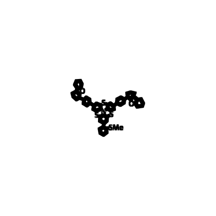 CSc1ccccc1-c1cc2c3c(c1)Sc1cc(-c4ccc(-c5cccc6c5oc5ccccc56)cc4)cc4c1N3c1c(cc(-c3ccc(-c5cccc6c5oc5ccccc56)cc3)cc1S2)S4